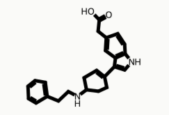 O=C(O)Cc1ccc2[nH]cc(C3=CCC(NCCc4ccccc4)CC3)c2c1